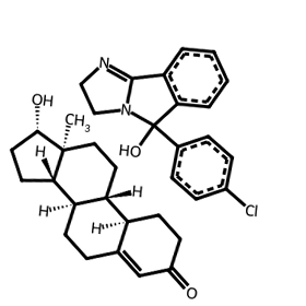 C[C@]12CC[C@H]3[C@@H](CCC4=CC(=O)CC[C@@H]43)[C@@H]1CC[C@@H]2O.OC1(c2ccc(Cl)cc2)c2ccccc2C2=NCCN21